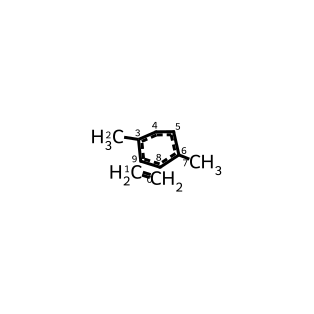 C=C.Cc1ccc(C)cc1